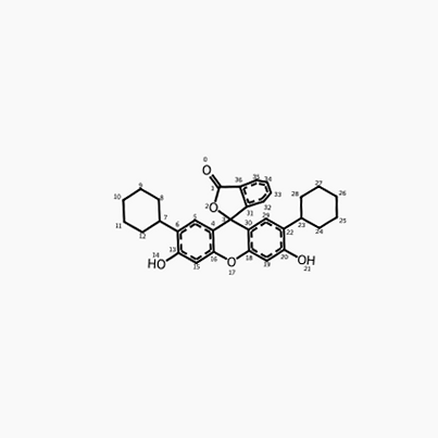 O=C1OC2(c3cc(C4CCCCC4)c(O)cc3Oc3cc(O)c(C4CCCCC4)cc32)c2ccccc21